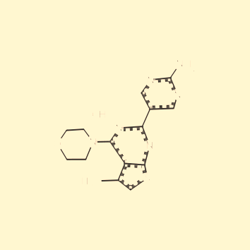 Cc1csc2nc(-c3cnc(N)nc3)nc(N3CCOC[C@@H]3C)c12